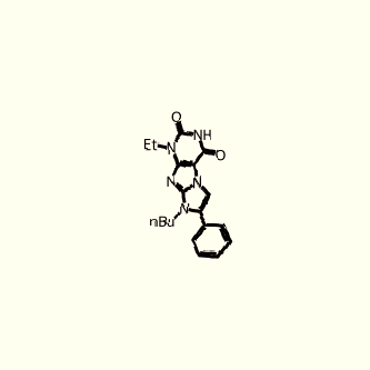 CCCCn1c(-c2ccccc2)cn2c3c(=O)[nH]c(=O)n(CC)c3nc12